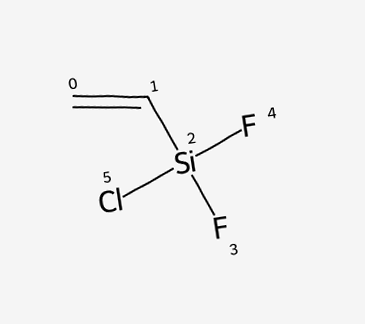 C=C[Si](F)(F)Cl